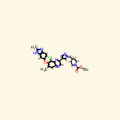 Cc1nc2ccc(Oc3c(C)cc4ncc(-c5cnn(CC6CCN(C(=O)OC(C)(C)C)CC6)c5)nc4c3Cl)cc2[nH]1